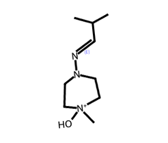 CC(C)/C=N/N1CC[N+](C)(O)CC1